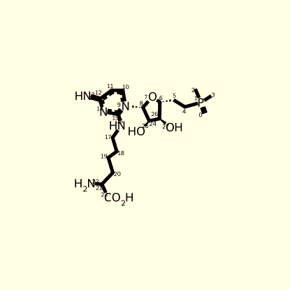 C=P(C)(C)CC[C@H]1O[C@@H](n2ccc(=N)nc2NCCCCC(N)C(=O)O)[C@H](O)[C@@H]1O